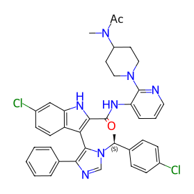 CC(=O)N(C)C1CCN(c2ncccc2NC(=O)c2[nH]c3cc(Cl)ccc3c2-c2c(-c3ccccc3)ncn2[C@@H](C)c2ccc(Cl)cc2)CC1